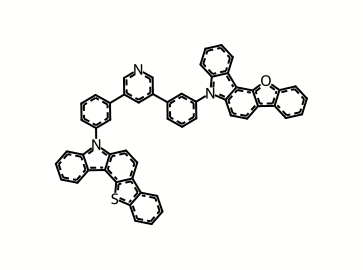 c1cc(-c2cncc(-c3cccc(-n4c5ccccc5c5c6sc7ccccc7c6ccc54)c3)c2)cc(-n2c3ccccc3c3c4oc5ccccc5c4ccc32)c1